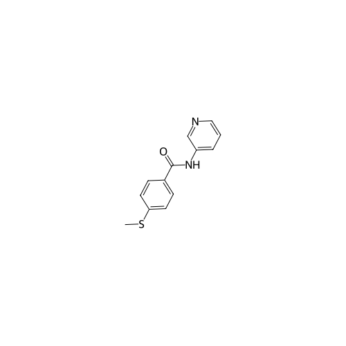 CSc1ccc(C(=O)Nc2cccnc2)cc1